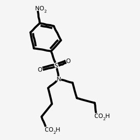 O=C(O)CCCN(CCCC(=O)O)S(=O)(=O)c1ccc([N+](=O)[O-])cc1